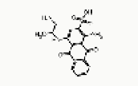 CC(CN)Nc1cc(S(=O)(=O)O)c(N)c2c1C(=O)c1ccccc1C2=O